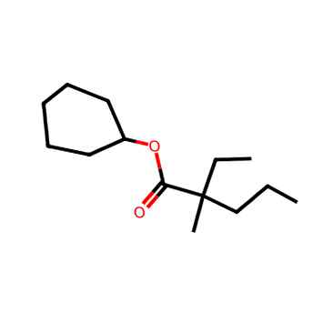 CCCC(C)(CC)C(=O)OC1CCCCC1